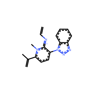 C=C/N=c1/c(-n2nnc3ccccc32)ccc(C(=C)C)n1C